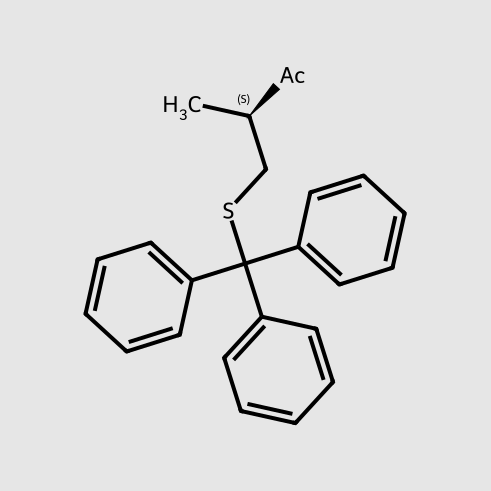 CC(=O)[C@H](C)CSC(c1ccccc1)(c1ccccc1)c1ccccc1